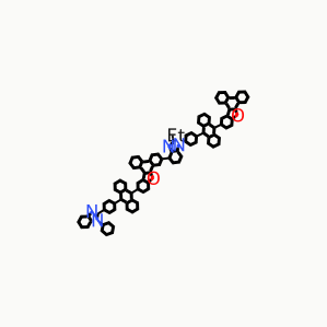 CCc1nc2c(-c3ccc4c5ccccc5c5c6cc(-c7c8ccccc8c(-c8ccc(-c9nc%10ccccc%10n9-c9ccccc9)cc8)c8ccccc78)ccc6oc5c4c3)cccc2n1-c1ccc(-c2c3ccccc3c(-c3ccc4oc5c6ccccc6c6ccccc6c5c4c3)c3ccccc23)cc1